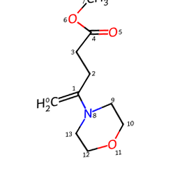 C=C(CCC(=O)OC)N1CCOCC1